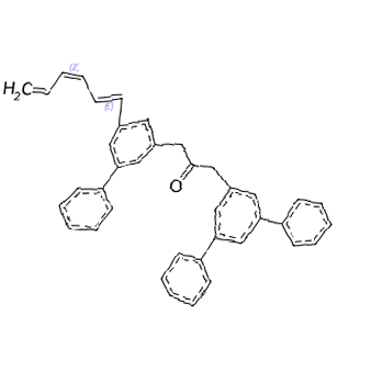 C=C/C=C\C=C\c1cc(CC(=O)Cc2cc(-c3ccccc3)cc(-c3ccccc3)c2)cc(-c2ccccc2)c1